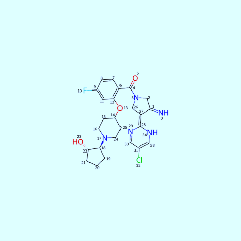 N=C1CN(C(=O)c2ccc(F)cc2OC2CCN([C@H]3CCC[C@@H]3O)CC2)C/C1=C1\N=CC(Cl)=CN1